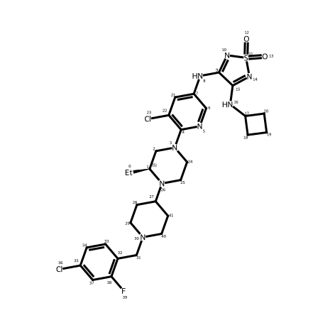 CC[C@H]1CN(c2ncc(NC3=NS(=O)(=O)N=C3NC3CCC3)cc2Cl)CCN1C1CCN(Cc2ccc(Cl)cc2F)CC1